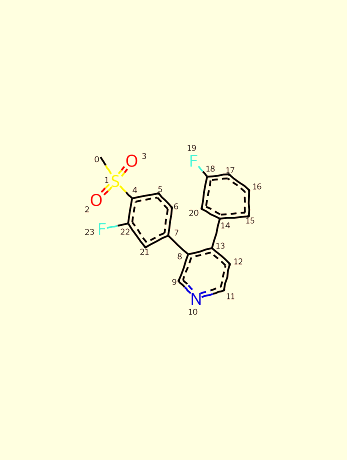 CS(=O)(=O)c1ccc(-c2cnccc2-c2cccc(F)c2)cc1F